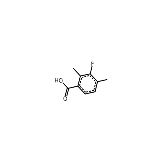 Cc1ccc(C(=O)O)c(C)c1F